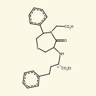 CCOC(=O)[C@H](CCc1ccccc1)NC1CSCC(c2ccccc2)N(CC(=O)O)C1=O